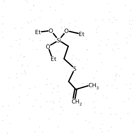 C=C(C)CSCC[Si](OCC)(OCC)OCC